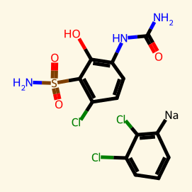 NC(=O)Nc1ccc(Cl)c(S(N)(=O)=O)c1O.[Na][c]1cccc(Cl)c1Cl